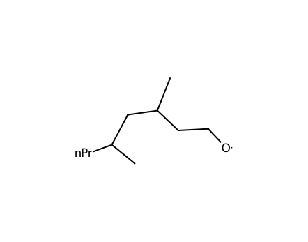 CCCC(C)CC(C)CC[O]